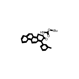 Cc1cccc(C2=c3ccc4c(c3C[C@H](NC(=O)OC(C)(C)C)C2=O)CC=c2ccccc2=4)c1